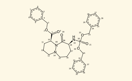 O=C(OCc1ccccc1)[C@@H]1CCCN2CCC[C@H](NP(=O)(OCc3ccccc3)OCc3ccccc3)C(=O)N12